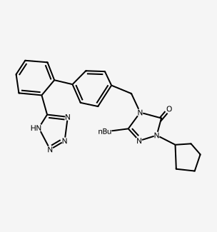 CCCCc1nn(C2CCCC2)c(=O)n1Cc1ccc(-c2ccccc2-c2nnn[nH]2)cc1